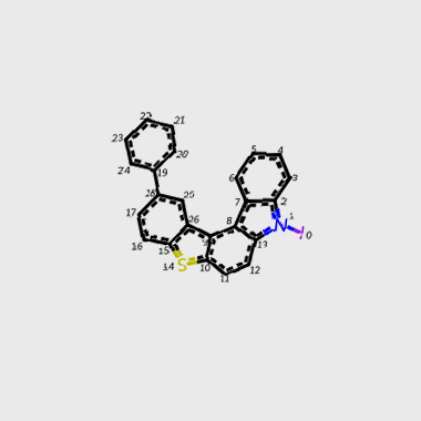 In1c2ccccc2c2c3c(ccc21)sc1ccc(-c2ccccc2)cc13